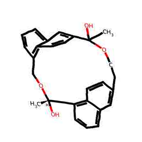 CC1(O)OCCc2ccc3c(cccc3c2)[C@](C)(O)OCc2cccc3cc1ccc23